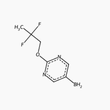 Bc1cnc(OCC(C)(F)F)nc1